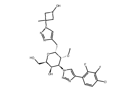 CO[C@@H]1[C@@H](n2cc(-c3ccc(Cl)c(F)c3F)nn2)[C@@H](O)[C@@H](CO)O[C@@H]1Cc1cn(C2(C)CC(O)C2)nn1